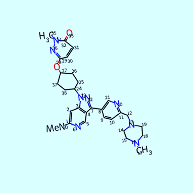 CNc1cc2c(cn1)c(-c1ccc(CN3CCN(C)CC3)nc1)nn2C1CCC(Oc2ccc(=O)n(C)n2)CC1